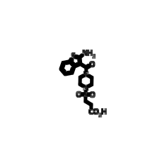 Nc1sc2ccccc2c1C(=O)N1CCN(S(=O)(=O)CCC(=O)O)CC1